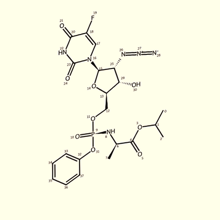 CC(C)OC(=O)[C@@H](C)N[P@@](=O)(OC[C@H]1O[C@@H](n2cc(F)c(=O)[nH]c2=O)[C@H](N=[N+]=[N-])[C@@H]1O)Oc1ccccc1